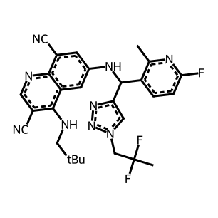 Cc1nc(F)ccc1C(Nc1cc(C#N)c2ncc(C#N)c(NCC(C)(C)C)c2c1)c1cn(CC(C)(F)F)nn1